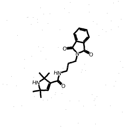 CC1(C)C=C(C(=O)NCCCN2C(=O)c3ccccc3C2=O)C(C)(C)N1